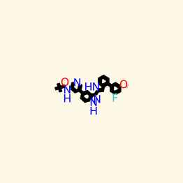 COc1cc(F)cc(-c2cccc3[nH]c(-c4n[nH]c5ccc(-c6cncc(NC(=O)C(C)(C)C)c6)cc45)cc23)c1